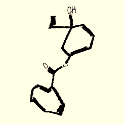 C=CC1(O)C=CC=C(OC(=O)c2ccccc2)C1